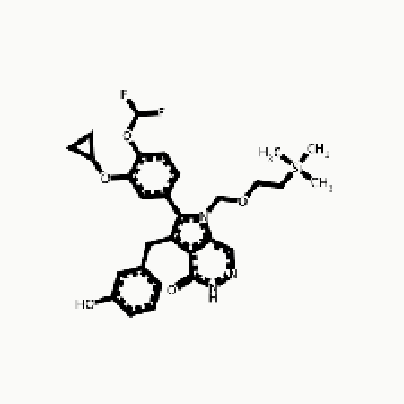 C[Si](C)(C)CCOCn1c(-c2ccc(OC(F)F)c(OC3CC3)c2)c(Cc2cccc(O)c2)c2c(=O)[nH]ncc21